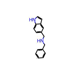 [c]1ccc(CNCc2ccc3[nH]ccc3c2)cc1